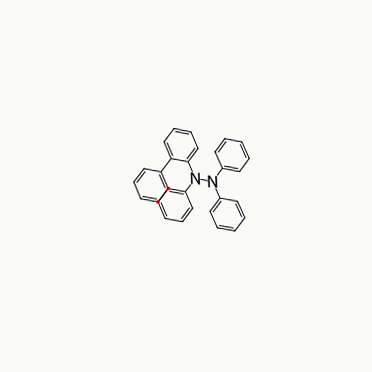 c1ccc(-c2ccccc2N(c2ccccc2)N(c2ccccc2)c2ccccc2)cc1